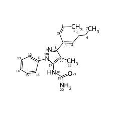 C/C=C\C(=C/CCC)c1nn(-c2ccccc2)c(NC(N)=O)c1C